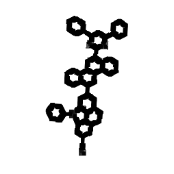 N#Cc1cc2ccc3cc(-c4cc5c6ccccc6c(-c6nc(-c7ccccc7)cc(-c7ccccc7)n6)cc5c5ccccc45)cc4c3c2c(c1)n4-c1ccccc1